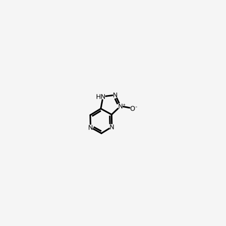 [O-][n+]1n[nH]c2cncnc21